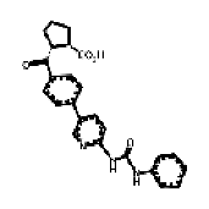 O=C(Nc1ccccc1)Nc1ccc(-c2ccc(C(=O)[C@@H]3CCC[C@H]3C(=O)O)cc2)cn1